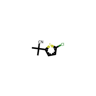 CC(C)(C#N)c1ccc(Cl)s1